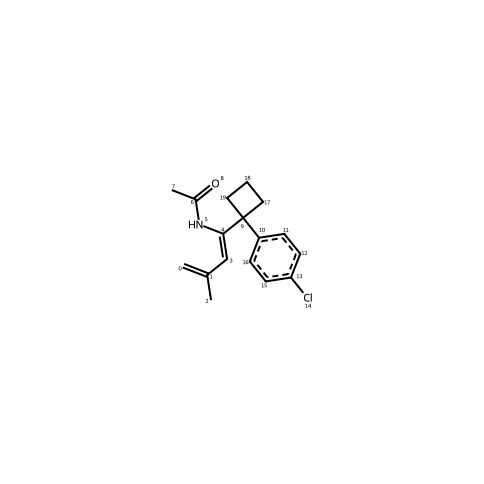 C=C(C)C=C(NC(C)=O)C1(c2ccc(Cl)cc2)CCC1